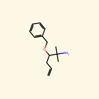 C=CCC(OCc1ccccc1)C(C)(C)N